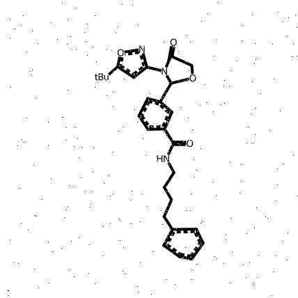 CC(C)(C)c1cc(N2C(=O)COC2c2cccc(C(=O)NCCCCc3ccccc3)c2)no1